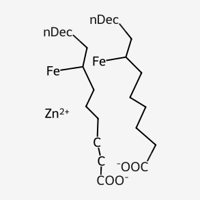 CCCCCCCCCCC[CH]([Fe])CCCCCC(=O)[O-].CCCCCCCCCCC[CH]([Fe])CCCCCC(=O)[O-].[Zn+2]